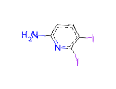 Nc1ccc(I)c(I)n1